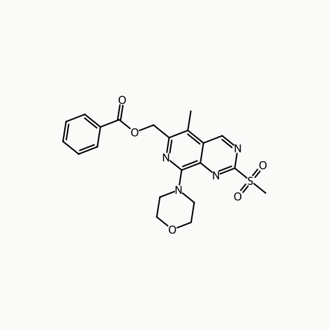 Cc1c(COC(=O)c2ccccc2)nc(N2CCOCC2)c2nc(S(C)(=O)=O)ncc12